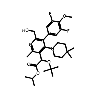 COc1c(F)cc(-c2c(CO)nc(C)c(C(OC(C)(C)C)C(=O)OC(C)C)c2N2CCC(C)(C)CC2)cc1F